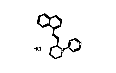 C(=CC1CCCCN1c1ccncc1)c1cccc2ccccc12.Cl